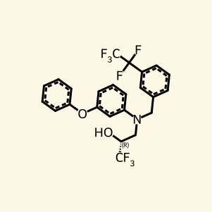 O[C@H](CN(Cc1cccc(C(F)(F)C(F)(F)F)c1)c1cccc(Oc2ccccc2)c1)C(F)(F)F